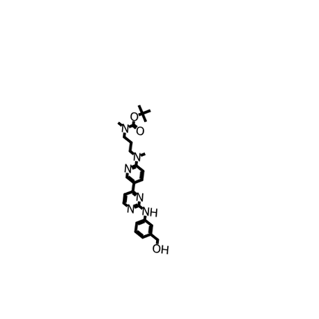 CN(CCCN(C)c1ccc(-c2ccnc(Nc3cccc(CO)c3)n2)cn1)C(=O)OC(C)(C)C